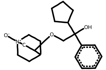 [O-][N+]12CCC(CC1)C(OCC(O)(c1ccccc1)C1CCCC1)C2